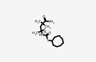 CC(C)(CC(C)(C)C(N)=O)NC(=O)SC1CCCCCCC1